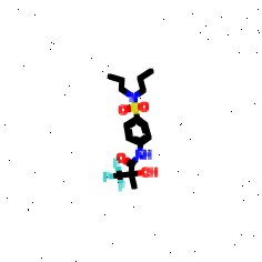 CCCN(CCC)S(=O)(=O)c1ccc(NC(=O)C(C)(O)C(F)(F)F)cc1